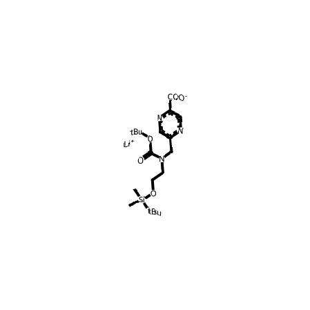 CC(C)(C)OC(=O)N(CCO[Si](C)(C)C(C)(C)C)Cc1cnc(C(=O)[O-])cn1.[Li+]